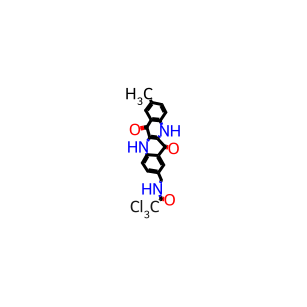 Cc1ccc2[nH]c3c(=O)c4cc(CNC(=O)C(Cl)(Cl)Cl)ccc4[nH]c3c(=O)c2c1